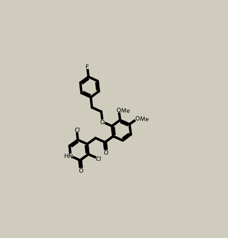 COc1ccc(C(=O)Cc2c(Cl)c[nH]c(=O)c2Cl)c(OCCc2ccc(F)cc2)c1OC